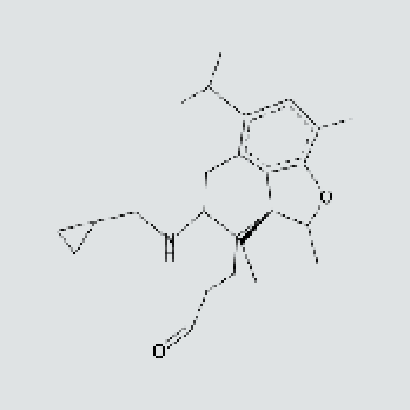 CC[C@@]12c3c(c(C(C)C)cc(C)c3OC1C)CC(NCC1CC1)C2CCC=O